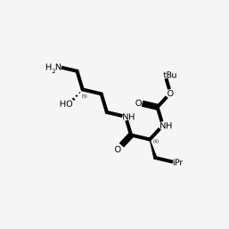 CC(C)C[C@H](NC(=O)OC(C)(C)C)C(=O)NCC[C@H](O)CN